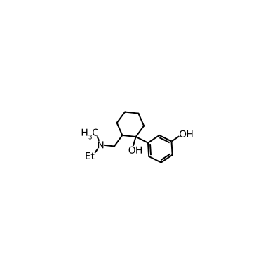 CCN(C)CC1CCCCC1(O)c1cccc(O)c1